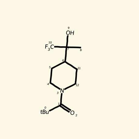 CC(C)(C)C(=O)N1CCC(C(C)(O)C(F)(F)F)CC1